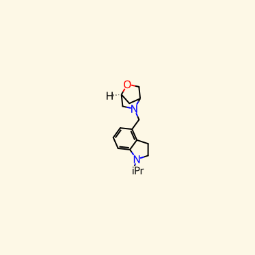 CC(C)N1CCc2c(CN3C[C@@H]4CC3CO4)cccc21